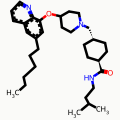 CCCCCCc1cc(OC2CCN(C[C@H]3CC[C@H](C(=O)NCCC(C)C)CC3)CC2)c2ncccc2c1